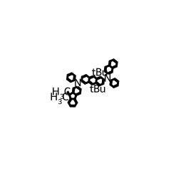 CC(C)(C)c1c2ccc(N(c3ccccc3)c3ccc4ccccc4c3)cc2c(C(C)(C)C)c2ccc(N(c3ccccc3)c3ccc4c(c3)C(C)(C)c3ccccc3-4)cc12